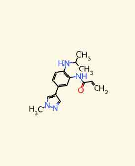 C=CC(=O)Nc1cc(-c2cnn(C)c2)ccc1NC(C)C